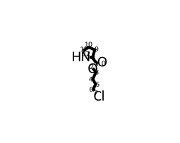 O=C(OCCCCCl)C1CCCN1